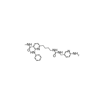 CNC(=O)c1ccc(CCCCNC(=O)NCc2ccc(N)nc2)nc1Nc1ccccc1